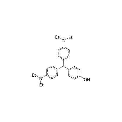 CCN(CC)c1ccc(C(c2ccc(O)cc2)c2ccc(N(CC)CC)cc2)cc1